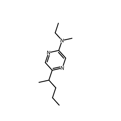 CCCC(C)c1cnc(N(C)CC)cn1